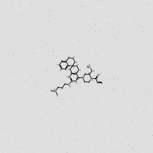 C=CC(=O)N1CCN(c2nc(OCCCN(C)C)nc3c2CCC2(CCCc4ccccc42)C3)CC1CC#N